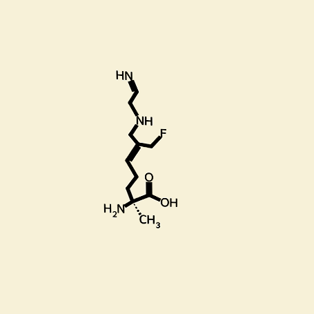 C[C@](N)(CC/C=C(\CF)CNCC=N)C(=O)O